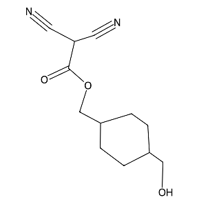 N#CC(C#N)C(=O)OCC1CCC(CO)CC1